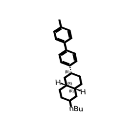 CCCCC1CC[C@@H]2C[C@H](c3ccc(-c4ccc(C)cc4)cc3)CC[C@@H]2C1